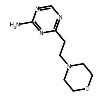 Nc1ncnc(CCN2CCOCC2)n1